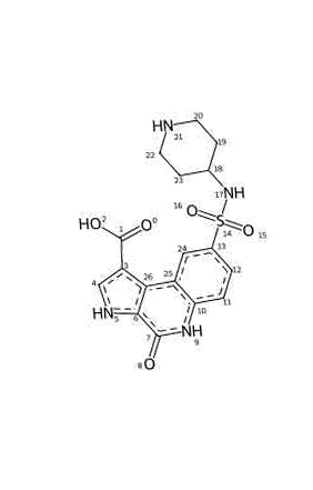 O=C(O)c1c[nH]c2c(=O)[nH]c3ccc(S(=O)(=O)NC4CCNCC4)cc3c12